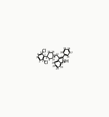 Clc1cccc(Cl)c1C1CCN(Cc2c(-c3ccccc3)[nH]c3ccccc23)CC1